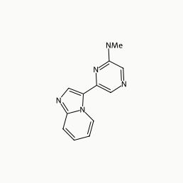 CNc1cncc(-c2cnc3ccccn23)n1